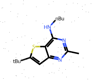 CCCCNc1nc(C)nc2cc(C(C)(C)C)sc12